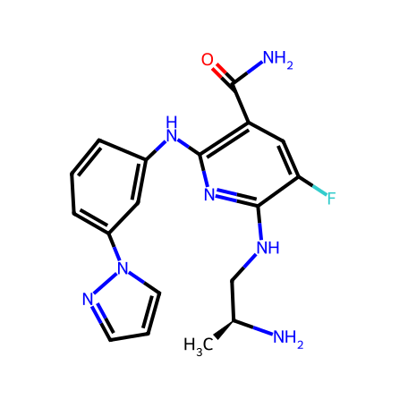 C[C@H](N)CNc1nc(Nc2cccc(-n3cccn3)c2)c(C(N)=O)cc1F